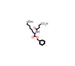 CCCCCCCCCCCCCCCC(NC(=O)CCC(=O)O)C(=O)OCc1ccccc1